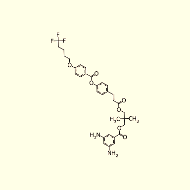 CC(C)(COC(=O)C=Cc1ccc(OC(=O)c2ccc(OCCCCC(F)(F)F)cc2)cc1)COC(=O)c1cc(N)cc(N)c1